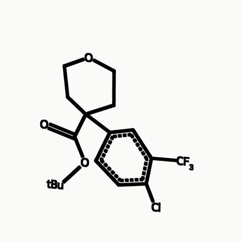 CC(C)(C)OC(=O)C1(c2ccc(Cl)c(C(F)(F)F)c2)CCOCC1